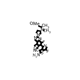 COCC(C)N(C)[C@H]1CCN(c2ncc3c4c(c(-c5ncc(F)c6sc(N)c(C#N)c56)c(F)c3n2)COC4)C1